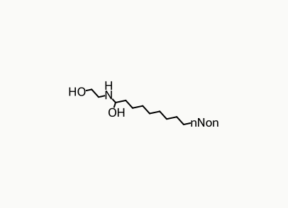 CCCCCCCCCCCCCCCCCC(O)NCCO